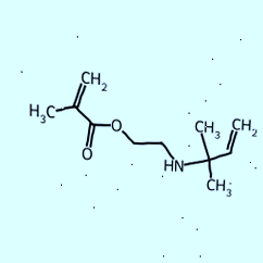 C=CC(C)(C)NCCOC(=O)C(=C)C